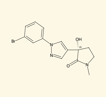 CN1CC[C@](O)(c2cnn(-c3cccc(Br)c3)c2)C1=O